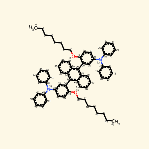 CCCCCCCCOc1ccc(N(c2ccccc2)c2ccccc2)cc1-c1c2ccccc2c(-c2cc(N(c3ccccc3)c3ccccc3)ccc2OCCCCCCCC)c2ccccc12